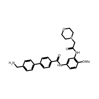 COc1ccc(NC(=O)c2ccc(-c3ccc(CN)cc3)cc2)cc1NC(=O)CN1CCOCC1